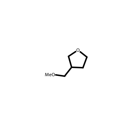 CO[CH]C1CCOC1